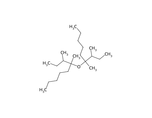 CCCCCC(C)(OC(C)(CCCCC)C(C)CC)C(C)CC